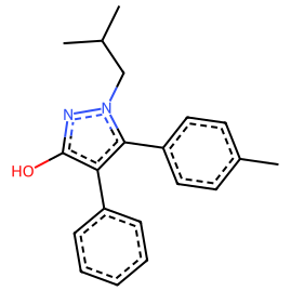 Cc1ccc(-c2c(-c3ccccc3)c(O)nn2CC(C)C)cc1